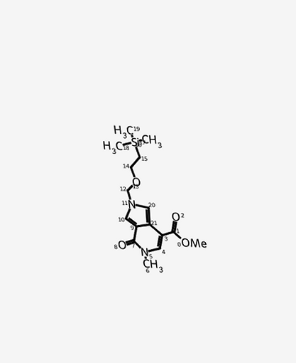 COC(=O)c1cn(C)c(=O)c2cn(COCC[Si](C)(C)C)cc12